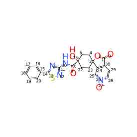 O=C1OC2(CCC(O)(C(=O)Nc3nsc(-c4ccccc4)n3)CC2)c2c[n+]([O-])ccc21